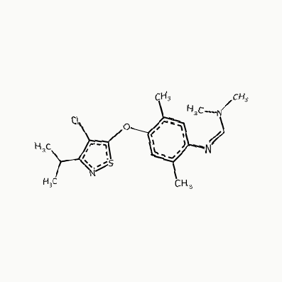 Cc1cc(Oc2snc(C(C)C)c2Cl)c(C)cc1/N=C\N(C)C